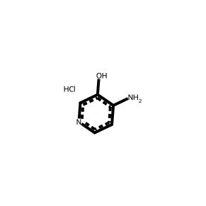 Cl.Nc1ccncc1O